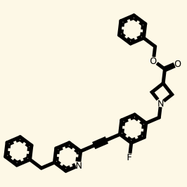 O=C(OCc1ccccc1)C1CN(Cc2ccc(C#Cc3ccc(Cc4ccccc4)cn3)c(F)c2)C1